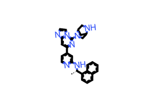 C[C@H](Nc1cc(-c2cc3nccn3c(N3CC4CC3CN4)n2)ccn1)c1cccc2ccccc12